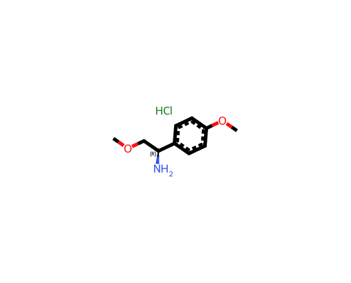 COC[C@H](N)c1ccc(OC)cc1.Cl